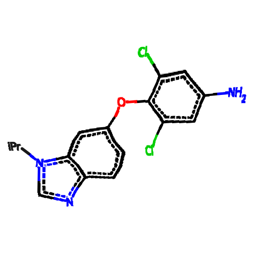 CC(C)n1cnc2ccc(Oc3c(Cl)cc(N)cc3Cl)cc21